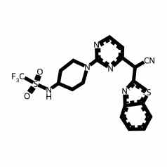 N#CC(c1ccnc(N2CCC(NS(=O)(=O)C(F)(F)F)CC2)n1)c1nc2ccccc2s1